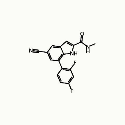 CNC(=O)c1cc2cc(C#N)cc(-c3ccc(F)cc3F)c2[nH]1